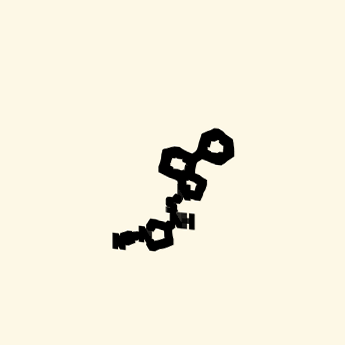 N#CN1CCC(NSN2CCc3c(-c4ccccc4)cccc32)C1